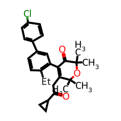 CCc1ccc(-c2ccc(Cl)cc2)cc1C1=C(CC(=O)C2CC2)C(C)(C)OC(C)(C)C1=O